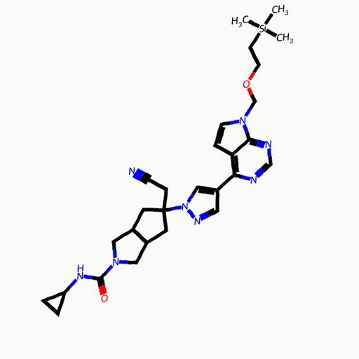 C[Si](C)(C)CCOCn1ccc2c(-c3cnn(C4(CC#N)CC5CN(C(=O)NC6CC6)CC5C4)c3)ncnc21